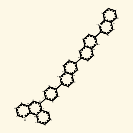 c1ccc2nc(-c3ccc4cc(-c5ccc6nc(-c7ccc(-c8cc9cccnc9c9ncccc89)cc7)ccc6c5)ccc4n3)ccc2c1